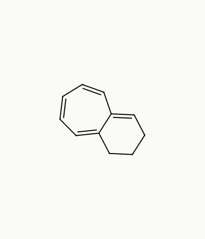 C1=CC=C2CCCC=C2C=C1